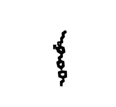 CCCCCOc1ccc(CCC2=CCC([C@H]3CC[C@H](CCC)CC3)CC2)cc1F